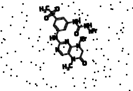 CCCNC(=O)Nc1cc(Nc2ncc3c(n2)N(C(C)C)CC(=O)N3C)cc(S(C)(=O)=O)c1